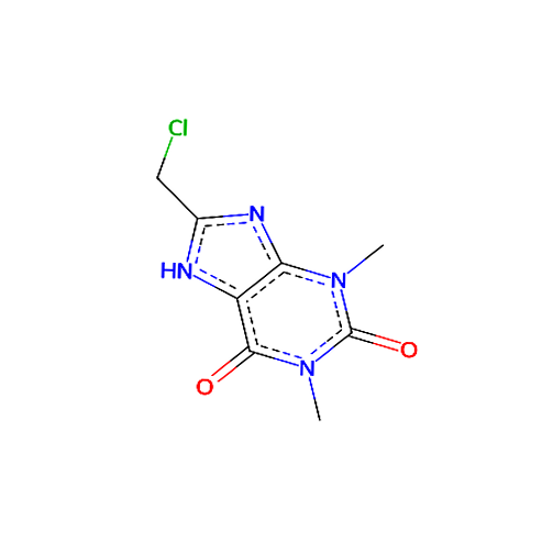 Cn1c(=O)c2[nH]c(CCl)nc2n(C)c1=O